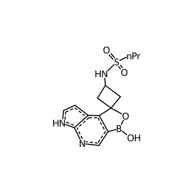 CCCS(=O)(=O)NC1CC2(C1)OB(O)c1cnc3[nH]ccc3c12